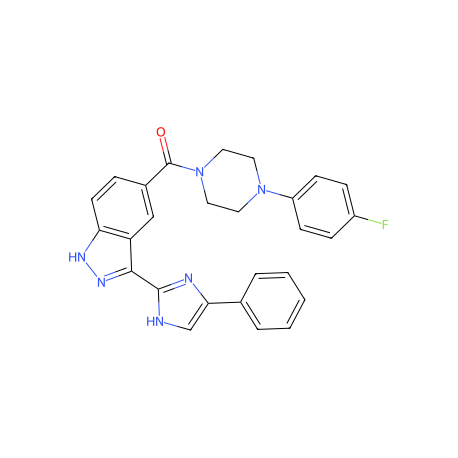 O=C(c1ccc2[nH]nc(-c3nc(-c4ccccc4)c[nH]3)c2c1)N1CCN(c2ccc(F)cc2)CC1